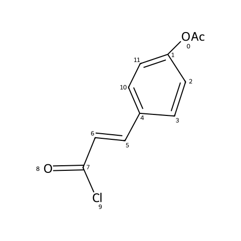 CC(=O)Oc1ccc(C=CC(=O)Cl)cc1